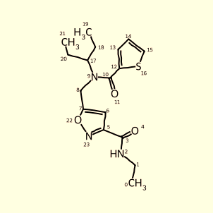 CCNC(=O)c1cc(CN(C(=O)c2cccs2)C(CC)CC)on1